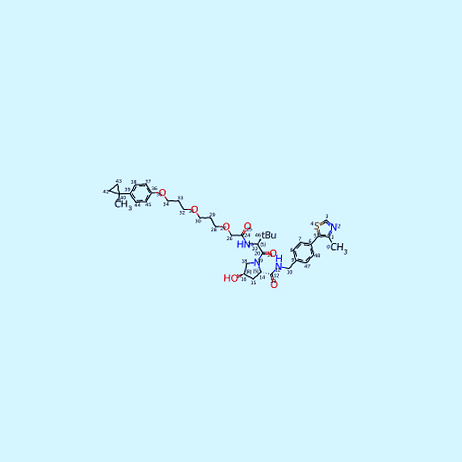 Cc1ncsc1-c1ccc(CNC(=O)[C@@H]2C[C@@H](O)CN2C(=O)[C@@H](NC(=O)COCCCOCCCOc2ccc(C3(C)CC3)cc2)C(C)(C)C)cc1